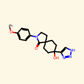 CC(C)Oc1ccc(N2CCC3(CCC(O)(c4c[nH]nn4)CC3)C2=O)cc1